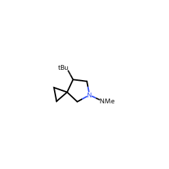 CNN1CC(C(C)(C)C)C2(CC2)C1